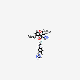 COC(=O)C1=C(C)NC(C)=C(C(=O)OC/C=C/c2ccc(Cn3ccnc3)cc2)C1c1cccc(OC)c1